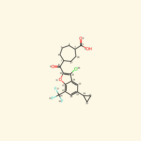 O=C(O)C1CCCC(C(=O)c2oc3c(C(F)(F)F)cc(C4CC4)cc3c2Cl)CC1